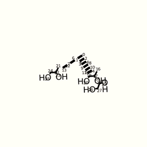 C=C.C=C.C=C.C=C.C=C.C=C.C=C.C=C.CC(O)CO.CC(O)CO.OCCO